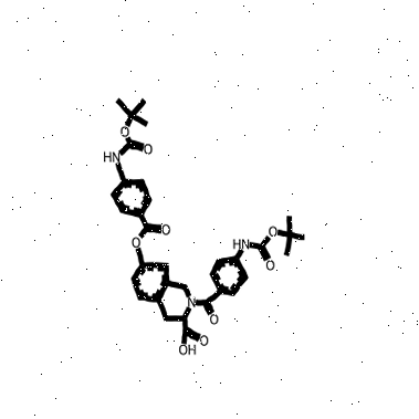 CC(C)(C)OC(=O)Nc1ccc(C(=O)Oc2ccc3c(c2)CN(C(=O)c2ccc(NC(=O)OC(C)(C)C)cc2)C(C(=O)O)C3)cc1